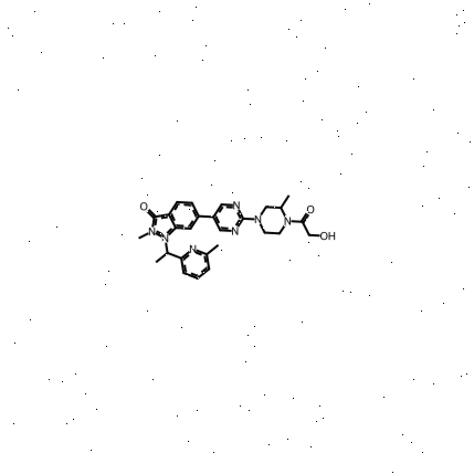 Cc1cccc(C(C)n2c3cc(-c4cnc(N5CCN(C(=O)CO)C(C)C5)nc4)ccc3c(=O)n2C)n1